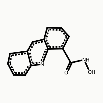 O=C(NO)c1cccc2cc3ccccc3nc12